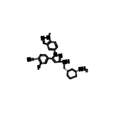 Cn1ncc2cc(-n3nc(NC[C@H]4CCC[C@@H](N)C4)cc3-c3ccc(C#N)c(F)c3)ccc21